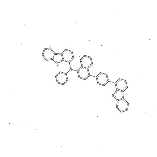 c1ccc(N(c2ccc(-c3ccc(-c4cccc5c4sc4ccccc45)cc3)c3ccccc23)c2cccc3c2sc2ccccc23)cc1